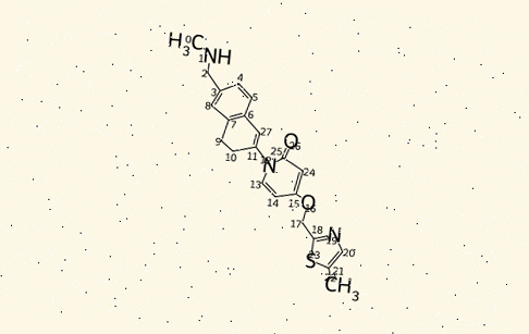 CNCc1ccc2c(c1)CCC(n1ccc(OCc3ncc(C)s3)cc1=O)=C2